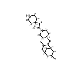 CC1CC2CC(C)C(CN3CCN(C4CC5(CCNCC5)C4)CC3)C(C1)C2